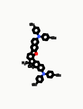 CC(C)(C)c1ccc(N(c2ccc(C(C)(C)C)cc2)c2ccc3cc4c(cc3c2)C(C)(C)c2ccc3c(oc5cc6cc(N(c7ccc(C(C)(C)C)cc7)c7ccc(C(C)(C)C)cc7)ccc6cc53)c2-4)cc1